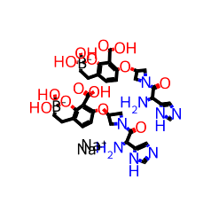 NC(C(=O)N1CC(Oc2ccc3c(c2C(=O)O)O[B-](O)(O)CC3)C1)c1cnc[nH]1.NC(C(=O)N1CC(Oc2ccc3c(c2C(=O)O)O[B-](O)(O)CC3)C1)c1cnc[nH]1.[Na+].[Na+]